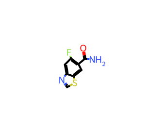 NC(=O)c1cc2scnc2cc1F